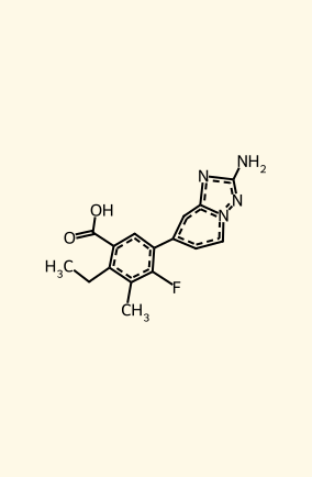 CCc1c(C(=O)O)cc(-c2ccn3nc(N)nc3c2)c(F)c1C